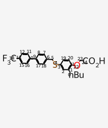 CCCCc1cc(SCc2ccc(-c3ccc(C(F)(F)F)cc3)cc2)ccc1OCC(=O)O